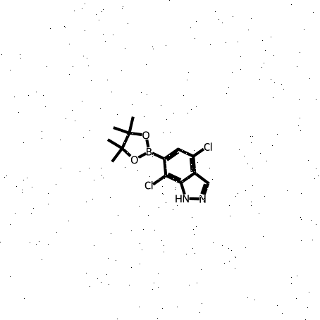 CC1(C)OB(c2cc(Cl)c3cn[nH]c3c2Cl)OC1(C)C